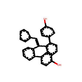 Oc1ccc(-c2ccccc2C(=Cc2ccccc2)c2ccccc2-c2ccc(O)cc2)cc1